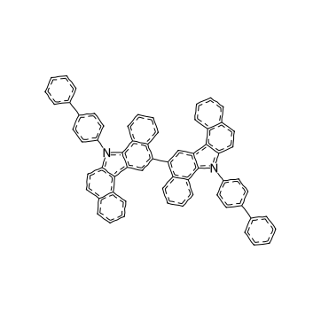 c1ccc(-c2ccc(-n3c4ccc5ccccc5c4c4cc(-c5cc6c7c8ccccc8ccc7n(-c7ccc(-c8ccccc8)cc7)c6c6ccccc56)c5ccccc5c43)cc2)cc1